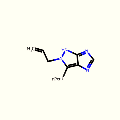 C=CCn1[nH]c2ncnc-2c1CCCCC